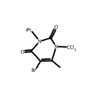 Cc1c(Br)c(=O)n(C(C)C)c(=O)n1C(Cl)(Cl)Cl